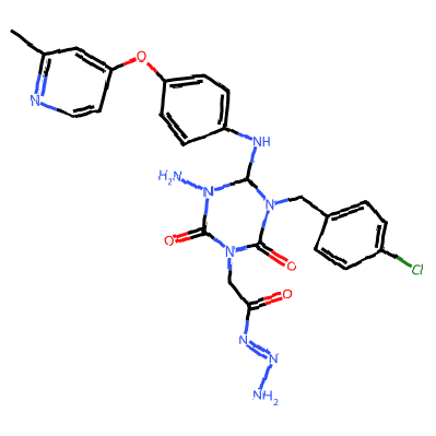 Cc1cc(Oc2ccc(NC3N(N)C(=O)N(CC(=O)N=NN)C(=O)N3Cc3ccc(Cl)cc3)cc2)ccn1